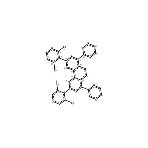 CCc1cccc(CC)c1-c1cc(-c2ccccc2)c2ccc3c(-c4ccccc4)cc(-c4c(CC)cccc4CC)nc3c2n1